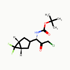 CC(C)(C)OC(=O)N[C@H](C(=O)CCl)C1C[C@@H]2[C@H](C1)C2(F)F